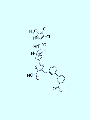 Cc1[nH]c(C(=O)N[C@H]2[C@@H]3CN(c4nc(Cc5cccc(-c6cccc(C(=O)O)c6)c5)c(C(=O)O)s4)C[C@@H]32)c(Cl)c1Cl